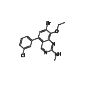 CCOc1c(Br)cc(-c2cccc(Cl)c2)c2cnc(NC)nc12